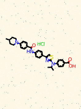 CC1CCN(c2ccc(C(=O)Nc3ccc(-c4csc(N(c5ccc(C(=O)O)cc5)C(C)C)n4)cc3)cc2)CC1.Cl